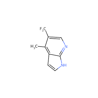 Cc1c(C(F)(F)F)cnc2[nH]ccc12